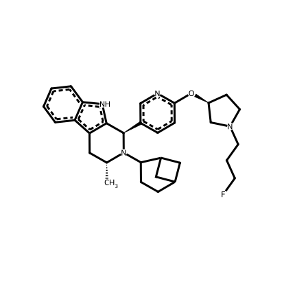 C[C@@H]1Cc2c([nH]c3ccccc23)[C@@H](c2ccc(O[C@H]3CCN(CCCF)C3)nc2)N1C1CCC2CC1C2